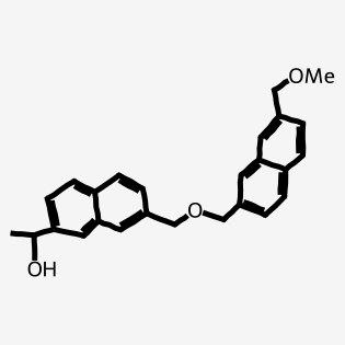 COCc1ccc2ccc(COCc3ccc4ccc(C(C)O)cc4c3)cc2c1